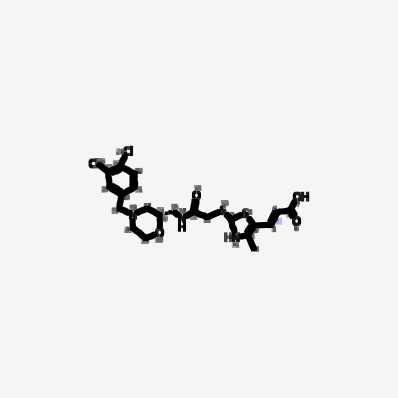 CC1=C(/C=C/C(=O)O)SC(SCC(=O)NC[C@H]2CN(Cc3ccc(Cl)c(Cl)c3)CCO2)N1